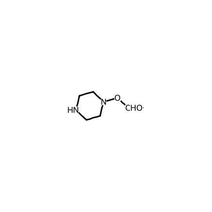 O=[C]ON1CCNCC1